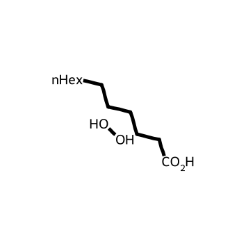 CCCCCCCCCCCC(=O)O.OO